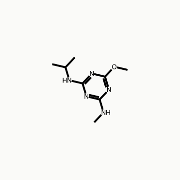 CNc1nc(NC(C)C)nc(OC)n1